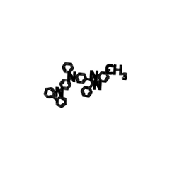 Cc1ccc2nc(-c3ccccc3)c(-c3ccc(N(c4ccccc4)c4ccc(-n5c6ccccc6c6ccccc65)cc4)cc3)nc2c1